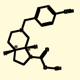 COc1ccc(CN2CC[C@H]3CCN(C(=O)OC(C)(C)C)[C@H]3C2)cc1